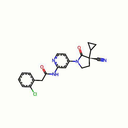 N#C[C@@]1(C2CC2)CCN(c2ccnc(NC(=O)Cc3ccccc3Cl)c2)C1=O